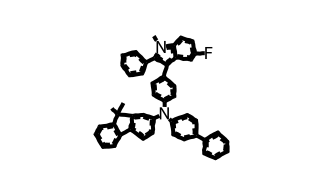 Cn1c(-c2ccccc2)c(-c2ccc(N(c3ccc(-c4ccccc4)cc3)c3ccc4c(c3)C(C)(C)c3ccccc3-4)cc2)c2cc(F)ccc21